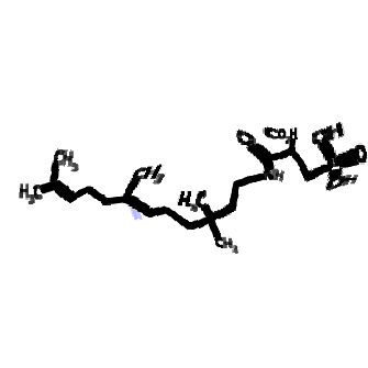 CC(C)=CCC/C(C)=C/CCC(C)(C)CCNC(=O)C(CP(=O)(O)O)C(=O)O